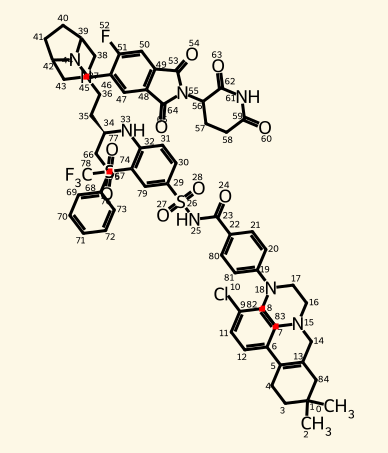 CC1(C)CCC(c2ccc(Cl)cc2)=C(CN2CCN(c3ccc(C(=O)NS(=O)(=O)c4ccc(N[C@H](CCN5CC6CCC(C5)N6Cc5cc6c(cc5F)C(=O)N(C5CCC(=O)NC5=O)C6=O)CSc5ccccc5)c(S(=O)(=O)C(F)(F)F)c4)cc3)CC2)C1